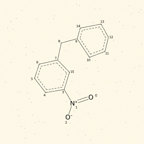 O=[N+]([O-])c1cccc(Cc2ccccc2)c1